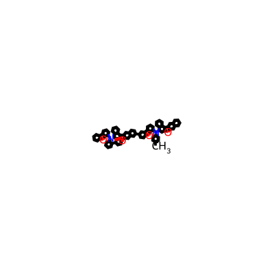 Cc1ccc(N(c2cc3oc4cc5ccccc5cc4c3c3ccccc23)c2cccc3c2oc2ccc(-c4ccc5cc6c(cc5c4)oc4cc(N(c5ccccc5-c5ccccc5)c5cccc7c5oc5ccccc57)c5ccccc5c46)cc23)cc1